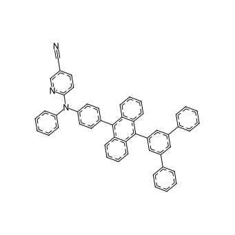 N#Cc1ccc(N(c2ccccc2)c2ccc(-c3c4ccccc4c(-c4cc(-c5ccccc5)cc(-c5ccccc5)c4)c4ccccc34)cc2)nc1